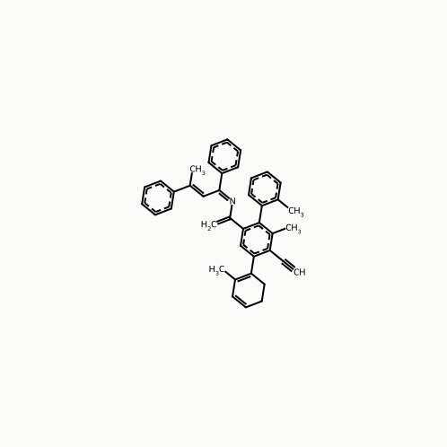 C#Cc1c(C2=C(C)C=CCC2)cc(C(=C)/N=C(\C=C(/C)c2ccccc2)c2ccccc2)c(-c2ccccc2C)c1C